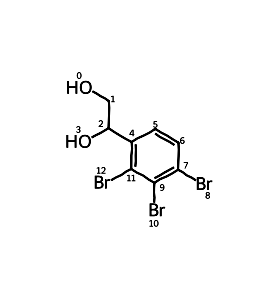 OCC(O)c1ccc(Br)c(Br)c1Br